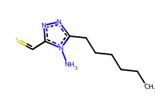 CCCCCCc1nnc(C=S)n1N